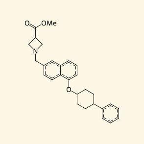 COC(=O)C1CN(Cc2ccc3c(OC4CCC(c5ccccc5)CC4)cccc3c2)C1